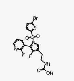 O=C(O)NCCc1cn(S(=O)(=O)c2ccc(Br)s2)c(-c2cccnc2F)c1F